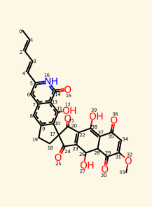 C/C=C/C=C/c1cc2cc3c(c(O)c2c(=O)[nH]1)C1(CC3)C(=O)C2=C(C1=O)C(O)C1C(=O)C(OC)=CC(=O)C1=C2O